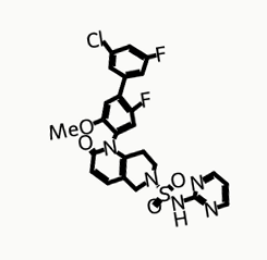 COc1cc(-c2cc(F)cc(Cl)c2)c(F)cc1-n1c2c(ccc1=O)CN(S(=O)(=O)Nc1ncccn1)CC2